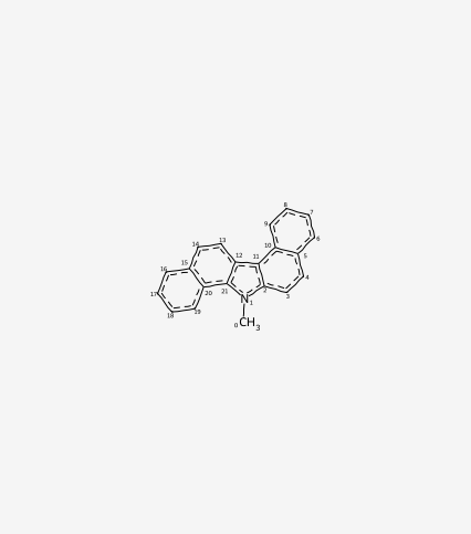 Cn1c2ccc3ccccc3c2c2ccc3ccccc3c21